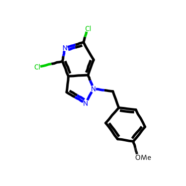 COc1ccc(Cn2ncc3c(Cl)nc(Cl)cc32)cc1